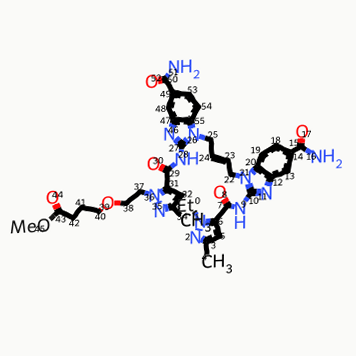 CCn1nc(C)cc1C(=O)Nc1nc2cc(C(N)=O)ccc2n1C/C=C/Cn1c(NC(=O)c2cc(C)nn2CCOCCCC(=O)OC)nc2cc(C(N)=O)ccc21